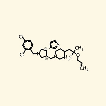 C=CCOC(C)(C)CC1CCN(C[C@H]2CN(Cc3ccc(Cl)cc3Cl)C[C@@H]2c2ccsc2)CC1